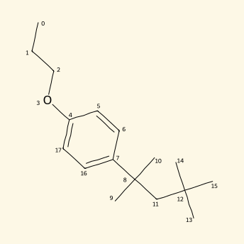 CCCOc1ccc(C(C)(C)CC(C)(C)C)cc1